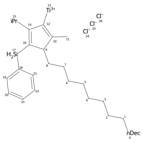 CCCCCCCCCCCCCCCCCCC1C(C)=[C]([Ti+3])C(C(C)C)=C1[SiH2]c1ccccc1.[Cl-].[Cl-].[Cl-]